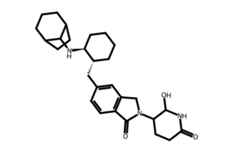 O=C1CCC(N2Cc3cc(C[C@H]4CCCC[C@@H]4NC4C5CCCC4CC5)ccc3C2=O)C(O)N1